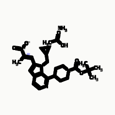 C/C(=C\c1cc2ccnc(C3CCN(C(=O)OC(C)(C)C)CC3)c2n1CC1CC1)[N+](=O)[O-].CC(=O)O.N